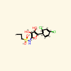 CCCS(=O)(=O)Nc1oc(-c2ccc(Cl)cc2Cl)c(O)c1O